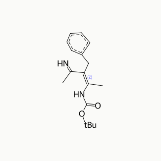 CC(=N)/C(Cc1ccccc1)=C(/C)NC(=O)OC(C)(C)C